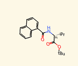 CC(C)[C@@H](NC(=O)c1cccc2ccccc12)C(=O)OC(C)(C)C